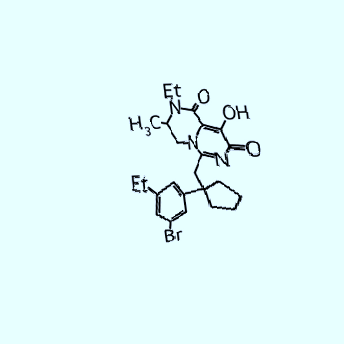 CCc1cc(Br)cc(C2(Cc3nc(=O)c(O)c4n3CC(C)N(CC)C4=O)CCCC2)c1